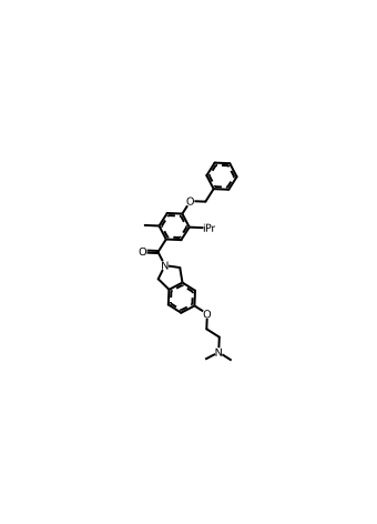 Cc1cc(OCc2ccccc2)c(C(C)C)cc1C(=O)N1Cc2ccc(OCCN(C)C)cc2C1